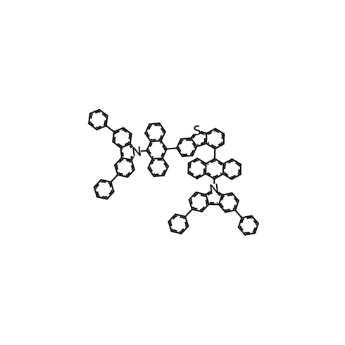 c1ccc(-c2ccc3c(c2)c2cc(-c4ccccc4)ccc2n3-c2c3ccccc3c(-c3ccc4c(c3)sc3cccc(-c5c6ccccc6c(-n6c7ccc(-c8ccccc8)cc7c7cc(-c8ccccc8)ccc76)c6ccccc56)c34)c3ccccc23)cc1